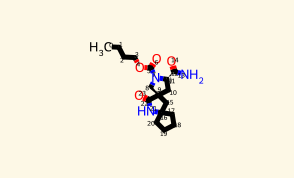 CCCCOC(=O)N1C[C@@]2(C[C@H]1C(N)=O)CC1(CCCC1)NC2=O